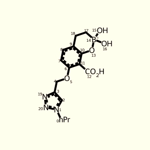 CCCn1cc(COc2ccc3c(c2C(=O)O)O[B-](O)(O)CC3)nn1